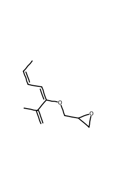 C=C(C)/C(=C\C=C/C)OCC1CO1